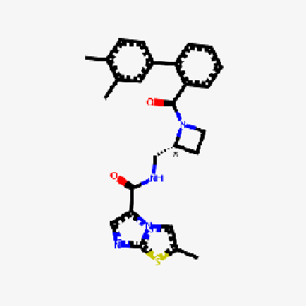 Cc1cn2c(C(=O)NC[C@H]3CCN3C(=O)c3ccccc3-c3ccc(C)c(C)c3)cnc2s1